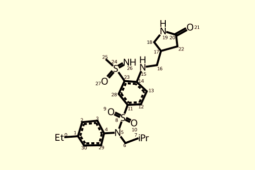 CCc1ccc(N(CC(C)C)S(=O)(=O)c2ccc(NCC3CNC(=O)C3)c(S(C)(=N)=O)c2)cc1